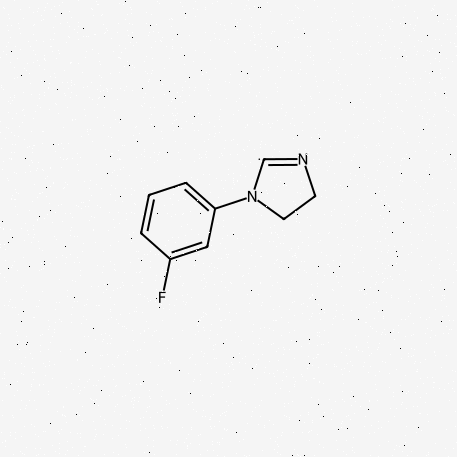 Fc1cccc(N2[C]=NCC2)c1